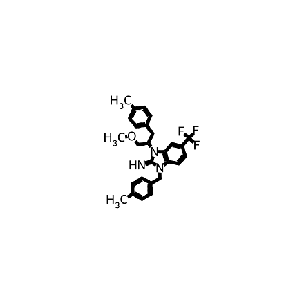 COCC(Cc1ccc(C)cc1)n1c(=N)n(Cc2ccc(C)cc2)c2ccc(C(F)(F)F)cc21